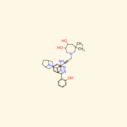 CC1(C)CC(O)C(O)CN(CC#Cc2cc(N3C4CCC3CN(c3cc(-c5ccccc5O)nnc3N)C4)ccn2)C1